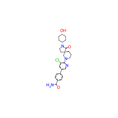 NC(=O)c1ccc(-c2cnc(N3CCC[C@]4(CCN([C@H]5CC[C@@H](O)CC5)C4=O)C3)c(Cl)c2)cc1